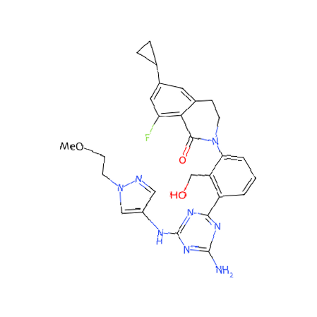 COCCn1cc(Nc2nc(N)nc(-c3cccc(N4CCc5cc(C6CC6)cc(F)c5C4=O)c3CO)n2)cn1